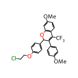 COc1ccc(C2=C(C(F)(F)F)c3ccc(OC)cc3OC2c2ccc(OCCCl)cc2)cc1